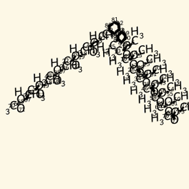 CCOC(C)=O.CCOC(C)=O.CCOC(C)=O.CCOC(C)=O.CCOC(C)=O.CCOC(C)=O.CCOC(C)=O.CCOC(C)=O.CCOC(C)=O.CCOC(C)=O.CCOC(C)=O.CCOC(C)=O.CCOC(C)=O.Cc1ccccc1.Cc1ccccc1